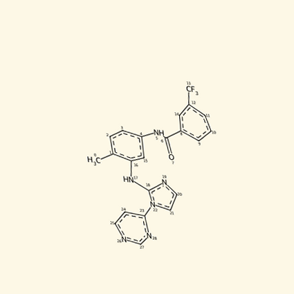 Cc1ccc(NC(=O)c2cccc(C(F)(F)F)c2)cc1Nc1nccn1-c1ccncn1